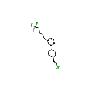 FC(F)(F)CCCCc1cc[c]c([C@H]2CC[C@H](/C=C/Br)CC2)c1